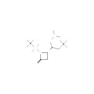 C[SiH](C)OC(CC(C)(C)C)[C@H]1CC(=O)N1[Si](C)(C)C(C)(C)C